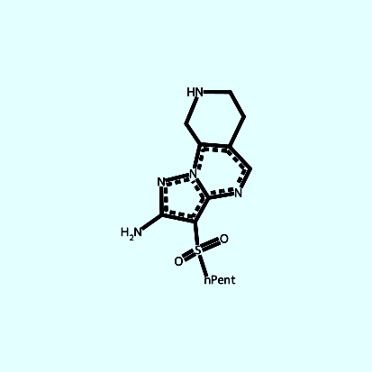 CCCCCS(=O)(=O)c1c(N)nn2c3c(cnc12)CCNC3